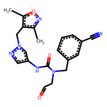 Cc1noc(C)c1Cn1cc(NC(=O)N(CC=O)Cc2cccc(C#N)c2)cn1